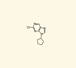 Clc1n[c]c2ncn(C3CCCC3)c2n1